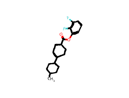 CC1CCC(C2CCC(C(=O)Oc3cccc(F)c3F)CC2)CC1